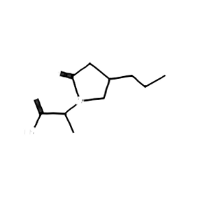 CCCC1CC(=O)N(C(C)C(N)=O)C1